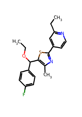 CCOC(c1ccc(F)cc1)c1sc(-c2ccnc(CC)c2)nc1C